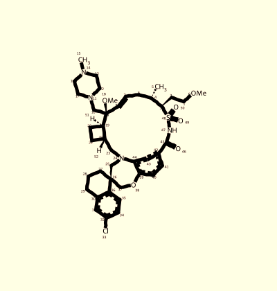 COCC[C@@H]1[C@@H](C)C/C=C/[C@](CN2CCN(C)CC2)(OC)[C@@H]2CC[C@H]2CN2C[C@@]3(CCCc4cc(Cl)ccc43)COc3ccc(cc32)C(=O)NS1(=O)=O